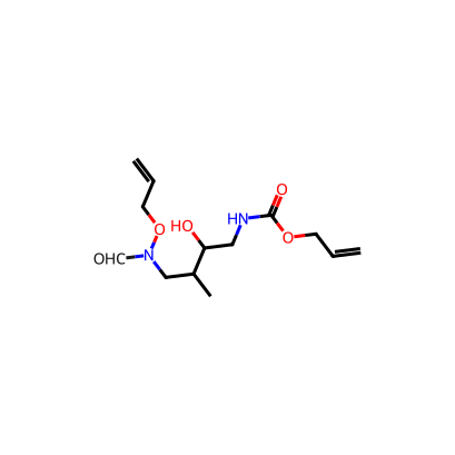 C=CCOC(=O)NCC(O)C(C)CN(C=O)OCC=C